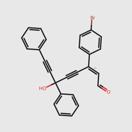 O=C/C=C(\C#CC(O)(C#Cc1ccccc1)c1ccccc1)c1ccc(Br)cc1